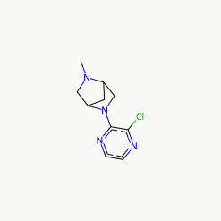 CN1CC2CC1CN2c1nccnc1Cl